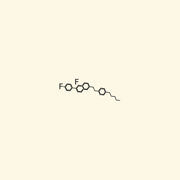 CCCCCc1ccc(CCc2ccc3c(F)c(-c4ccc(F)cc4)ccc3c2)cc1